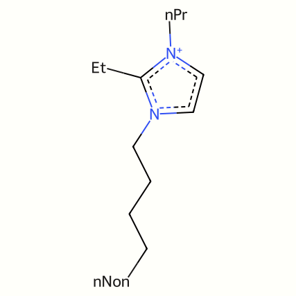 CCCCCCCCCCCCCn1cc[n+](CCC)c1CC